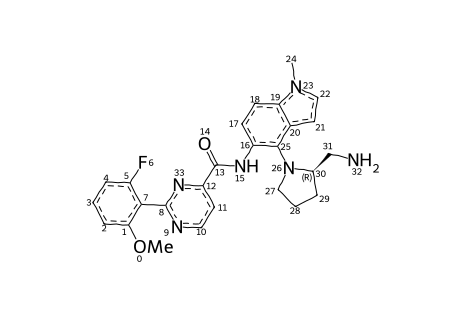 COc1cccc(F)c1-c1nccc(C(=O)Nc2ccc3c(ccn3C)c2N2CCC[C@@H]2CN)n1